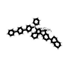 CC1(C)c2cc(-c3ccc4ccccc4c3)ccc2-c2c1cc(N(c1ccccc1)c1ccc(-c3ccc(-c4ccccc4)cc3)cc1)c1ccccc21